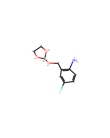 Nc1ccc(F)cc1COB1OCCO1